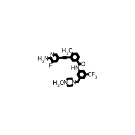 Cc1ccc(C(=O)Nc2cc(CN3CCN(C)CC3)cc(C(F)(F)F)c2)cc1C#Cc1cnc(N)c(F)c1